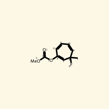 COC(=O)OC1=CC(C)(F)C=CC=C1